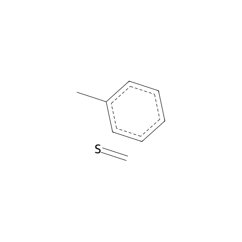 C=S.Cc1ccccc1